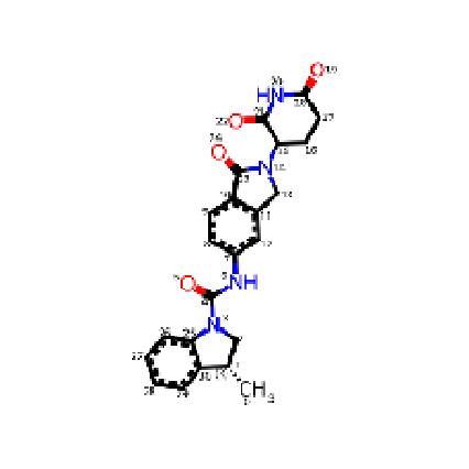 C[C@H]1CN(C(=O)Nc2ccc3c(c2)CN(C2CCC(=O)NC2=O)C3=O)c2ccccc21